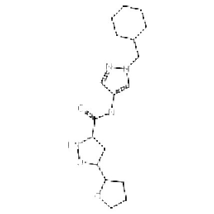 O=C(Nc1cnn(CC2CCCCC2)c1)C1CC(C2CCCO2)ON1